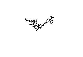 C=C(C)C(=O)OCCC[Si](C)(C)C(C)(CC)O[Si](C)(C)C(C)(CC)NCCCC